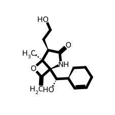 C=C1O[C@@]2(C)[C@@H](CCO)C(=O)N[C@@]12[C@@H](O)[C@@H]1C=CCCC1